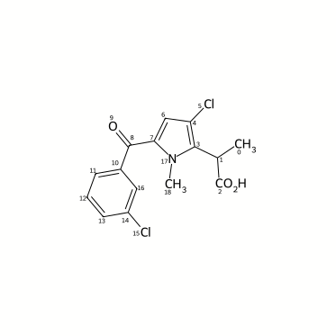 CC(C(=O)O)c1c(Cl)cc(C(=O)c2cccc(Cl)c2)n1C